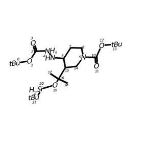 CC(C)(C)OC(=O)NNC1CCN(C(=O)OC(C)(C)C)CC1C(C)(C)O[SiH2]C(C)(C)C